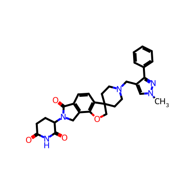 Cn1cc(CN2CCC3(CC2)COc2c3ccc3c2CN(C2CCC(=O)NC2=O)C3=O)c(-c2ccccc2)n1